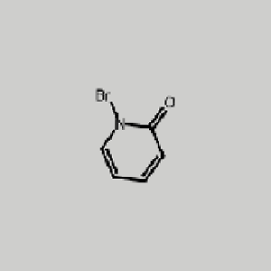 O=c1ccccn1Br